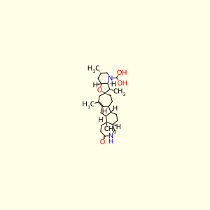 CC1=C2C[C@H]3[C@@H](CC[C@@H]4CNC(=O)CC[C@@]43C)[C@@H]2CC[C@@]2(C1)O[C@@H]1C[C@H](C)CN(C(O)O)[C@H]1[C@H]2C